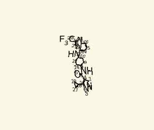 Cn1ncc(C(=O)N[C@H]2CC[C@@H](Nc3cccc4nc(C(F)(F)F)cn34)CC2)c1C1CC1